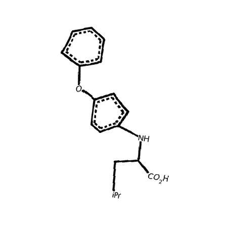 CC(C)CC(Nc1ccc(Oc2ccccc2)cc1)C(=O)O